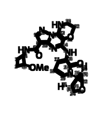 CO[C@H]1CCC1NC(=O)c1cnn2c3c(c(Nc4cccn([C@]56C7OC[C@@H]5[C@H]76)c4=O)nc12)OCCN3